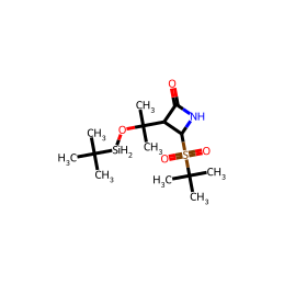 CC(C)(C)[SiH2]OC(C)(C)C1C(=O)NC1S(=O)(=O)C(C)(C)C